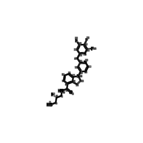 O=C(NC[C@@H](F)CO)c1cccc2c1CCN2c1ccnc(Cc2cc(F)c(F)c(F)c2)c1